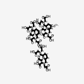 O=C([O-])CN1C(CN(CC(=O)O)CC(=O)O)CCCC1CN(CC(=O)O)CC(=O)O.O=C([O-])CN1C(CN(CC(=O)O)CC(=O)O)CCCC1CN(CC(=O)O)CC(=O)O.O=C([O-])CN1C(CN(CC(=O)O)CC(=O)O)CCCC1CN(CC(=O)O)CC(=O)O.[Gd+3]